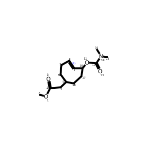 COC(=O)CC1CC/C=C/C(OC(=O)N(C)C)CC1